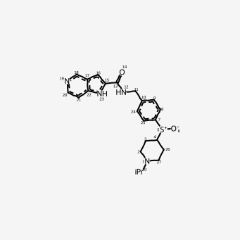 CC(C)N1CCC([S+]([O-])c2ccc(CNC(=O)c3cc4cnccc4[nH]3)cc2)CC1